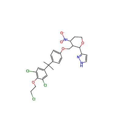 CC(C)(c1ccc(OCC2C(c3cc[nH]n3)OCCC2[N+](=O)[O-])cc1)c1cc(Cl)c(OCCCl)c(Cl)c1